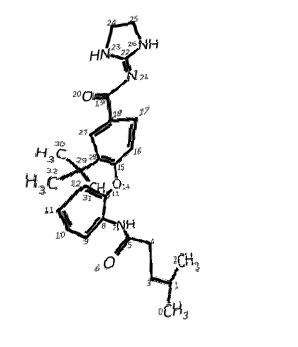 CC(C)CCC(=O)Nc1ccccc1Oc1ccc(C(=O)N=C2NCCN2)cc1C(C)(C)C